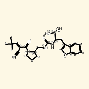 CC(C)(C)C=C(C#N)C(=O)N1CCC[C@@H]1CNC(=O)NC(Cc1coc2ccccc12)B(O)O